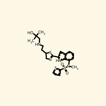 CN(c1cccc2cc(C3=NCC(CCNCC(C)(C)O)S3)[nH]c12)S(=O)(=O)c1cccs1